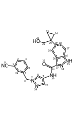 N#Cc1cccc(Cn2cc(NC(=O)c3n[nH]c4ccc(C5(CO)CC5)cc34)cn2)c1